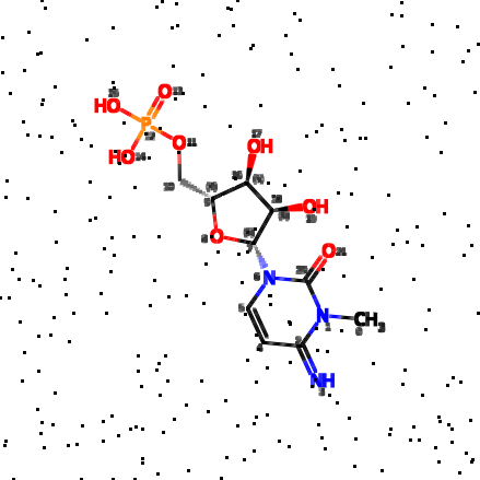 Cn1c(=N)ccn([C@@H]2O[C@H](COP(=O)(O)O)[C@@H](O)[C@H]2O)c1=O